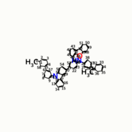 CC1C=CC=C(c2cccc(-n3c4ccccc4c4cc(-c5ccc(Nc6ccc(C7(C)C=CC=CC7)cc6)c(-c6cccc7c6oc6ccccc67)c5)ccc43)c2)C1